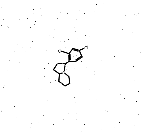 Clc1ccc(C2CCC3CCCCN32)c(Cl)c1